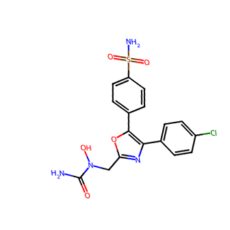 NC(=O)N(O)Cc1nc(-c2ccc(Cl)cc2)c(-c2ccc(S(N)(=O)=O)cc2)o1